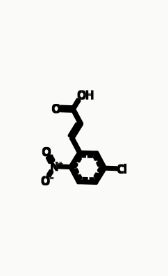 O=C(O)C=Cc1cc(Cl)ccc1[N+](=O)[O-]